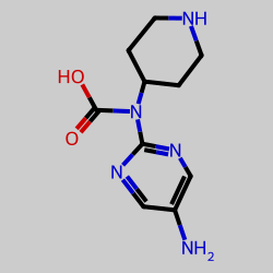 Nc1cnc(N(C(=O)O)C2CCNCC2)nc1